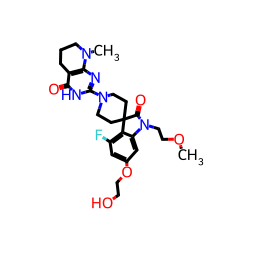 COCCN1C(=O)C2(CCN(c3nc4c(c(=O)[nH]3)CCCN4C)CC2)c2c(F)cc(OCCO)cc21